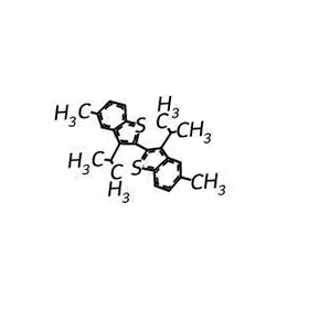 Cc1ccc2sc(-c3sc4ccc(C)cc4c3C(C)C)c(C(C)C)c2c1